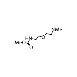 CNCCOCCNC(=O)OC